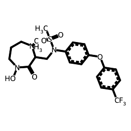 CN1CCCN(O)C(=O)C1CN(c1ccc(Oc2ccc(C(F)(F)F)cc2)cc1)S(C)(=O)=O